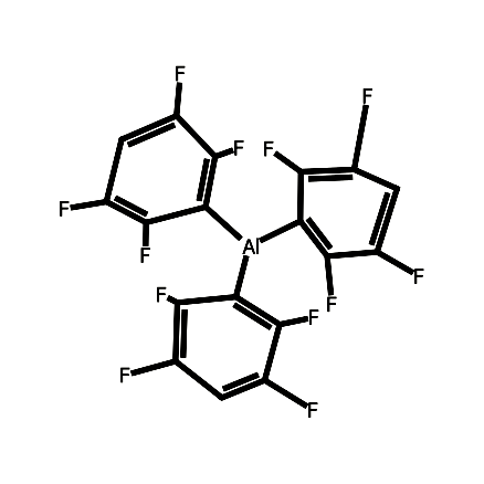 Fc1cc(F)c(F)[c]([Al]([c]2c(F)c(F)cc(F)c2F)[c]2c(F)c(F)cc(F)c2F)c1F